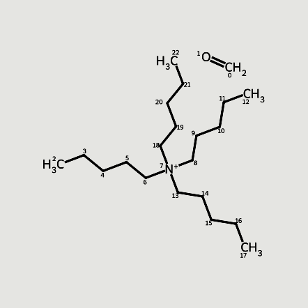 C=O.CCCCC[N+](CCCCC)(CCCCC)CCCCC